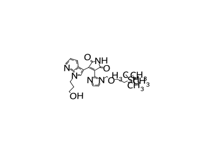 C[SH](C)(C)(C)CCOCn1ccnc1C1=C(c2cn(CCCO)c3ncccc23)C(=O)NC1=O